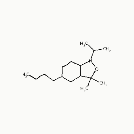 CCCCC1CCC2C(C1)C(C)(C)ON2C(C)C